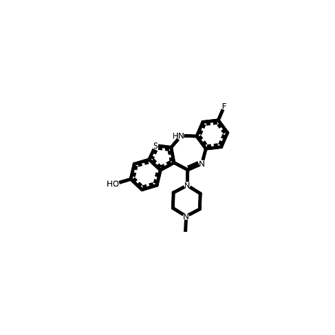 CN1CCN(C2=Nc3ccc(F)cc3Nc3sc4cc(O)ccc4c32)CC1